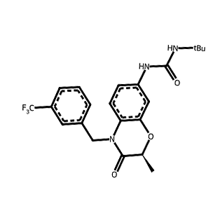 C[C@@H]1Oc2cc(NC(=O)NC(C)(C)C)ccc2N(Cc2cccc(C(F)(F)F)c2)C1=O